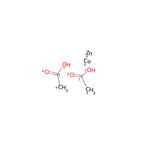 CC(=O)O.CC(=O)O.[Co].[Zn]